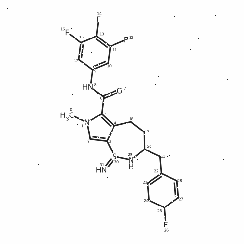 Cn1cc2c(c1C(=O)Nc1cc(F)c(F)c(F)c1)CCC(CC1=CCC(F)C=C1)NS2=N